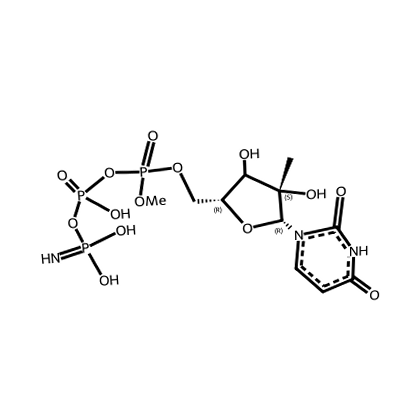 COP(=O)(OC[C@H]1O[C@@H](n2ccc(=O)[nH]c2=O)[C@@](C)(O)C1O)OP(=O)(O)OP(=N)(O)O